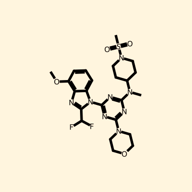 COc1cccc2c1nc(C(F)F)n2-c1nc(N2CCOCC2)nc(N(C)C2CCN(S(C)(=O)=O)CC2)n1